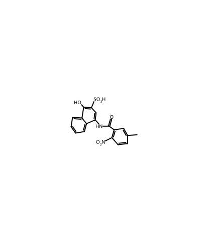 Cc1ccc([N+](=O)[O-])c(C(=O)Nc2cc(S(=O)(=O)O)c(O)c3ccccc23)c1